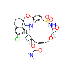 CN(C)C(=O)O[C@H]1/C=C\COC(C)(C)C(=O)NS(=O)(=O)c2ccc3c(c2)N(C[C@@H]2CC[C@H]21)C[C@@]1(CCCc2cc(Cl)ccc21)CO3